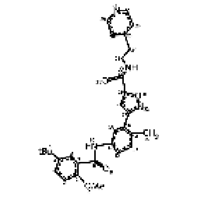 COc1ccc(C(C)(C)C)cc1C(=O)Nc1ccc(C)c(-c2cc(C(=O)NCCc3ccncc3)on2)c1